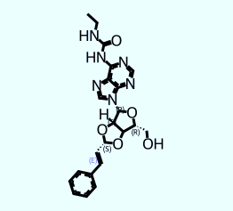 CCNC(=O)Nc1ncnc2c1ncn2[C@@H]1O[C@H](CO)C2O[C@H](/C=C/c3ccccc3)O[C@@H]21